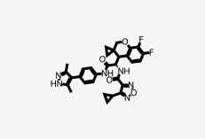 Cc1n[nH]c(C)c1-c1ccc(NC(=O)[C@@H](NC(=O)c2nonc2C2CC2)C2c3ccc(F)c(F)c3OCC23CC3)cc1